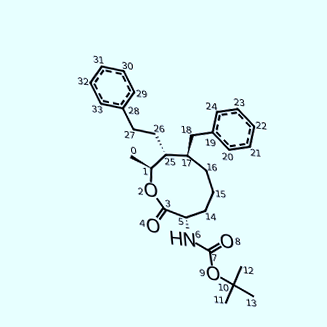 C[C@@H]1OC(=O)[C@@H](NC(=O)OC(C)(C)C)CCC[C@H](Cc2ccccc2)[C@H]1CCc1ccccc1